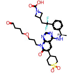 C[C@@H](Nc1ncnc2c1cc(C1CCS(=O)(=O)CC1)c(=O)n2CCCOCCCC=O)c1cccc(C(F)(F)CC2CN(C(=O)O)C2)c1